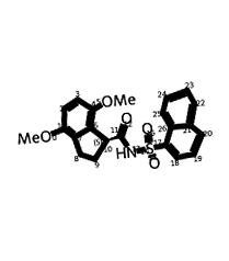 COc1ccc(OC)c2c1CC[C@@H]2C(=O)NS(=O)(=O)c1cccc2ccccc12